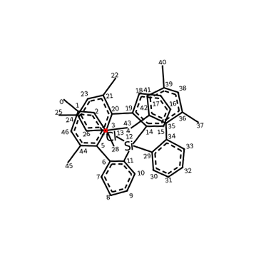 Cc1cc(C)c(-c2ccccc2[Si](Cl)(c2ccccc2-c2c(C)cc(C)cc2C)c2ccccc2-c2c(C)cc(C)cc2C)c(C)c1